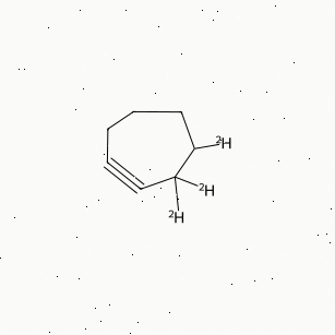 [2H]C1CCCC#CC1([2H])[2H]